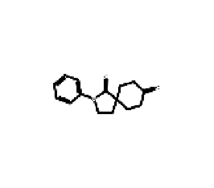 O=C1CCC2(CC1)CCN(c1ccccc1)C2=O